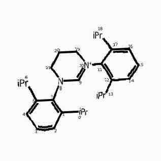 CC(C)c1cccc(C(C)C)c1N1C=[N+](c2c(C(C)C)cccc2C(C)C)CCC1